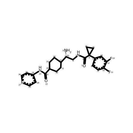 N[C@H](CNC(=O)C1(c2ccc(F)c(F)c2)CC1)C1CCC(C(=O)Nc2ccncc2)CC1